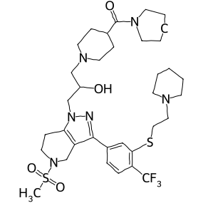 CS(=O)(=O)N1CCc2c(c(-c3ccc(C(F)(F)F)c(SCCN4CCCCC4)c3)nn2CC(O)CN2CCC(C(=O)N3CCCCC3)CC2)C1